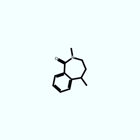 CC1CCN(C)C(=O)c2ccccc21